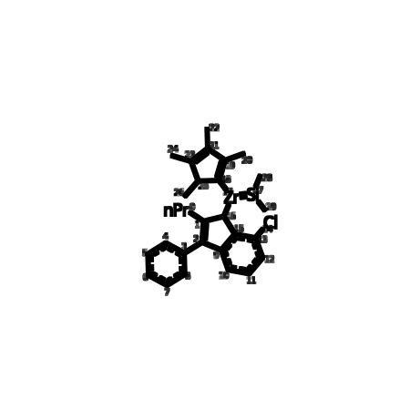 CCCC1=C(c2ccccc2)c2cccc(Cl)c2[CH]1[Zr]([C]1=C(C)C(C)=C(C)C1C)=[Si](C)C